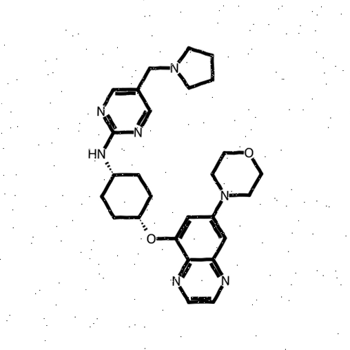 c1cnc2c(O[C@H]3CC[C@@H](Nc4ncc(CN5CCCC5)cn4)CC3)cc(N3CCOCC3)cc2n1